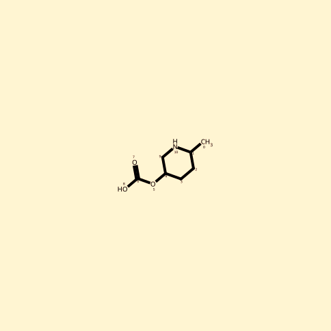 CC1CCC(OC(=O)O)CN1